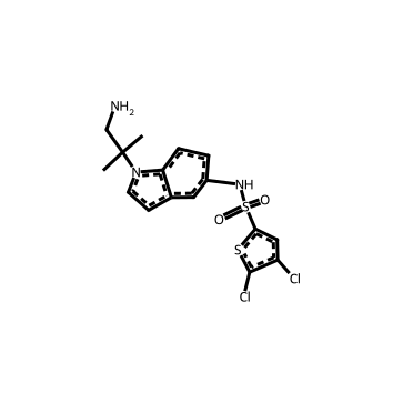 CC(C)(CN)n1ccc2cc(NS(=O)(=O)c3cc(Cl)c(Cl)s3)ccc21